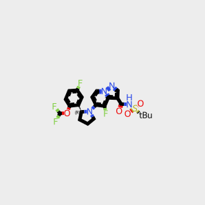 CC(C)(C)S(=O)(=O)NC(=O)c1cnn2ccc(N3CCC[C@@H]3c3cc(F)ccc3OC(F)F)c(F)c12